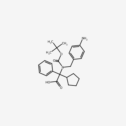 CC(C)(C)OC(=O)N(Cc1ccc(N)cc1)C(C(=O)O)(c1ccccc1)C1CCCC1